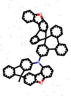 CC1(C)c2ccccc2-c2ccc(N(c3ccc4c(c3)-c3ccccc3-c3ccccc3C43c4ccccc4-c4c3ccc3oc5ccccc5c43)c3cccc4oc5ccccc5c34)cc21